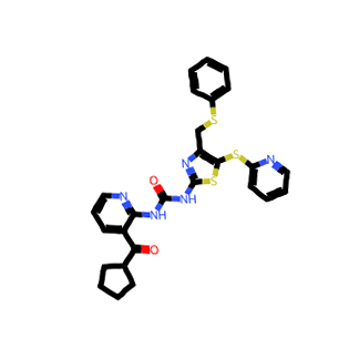 O=C(Nc1nc(CSc2ccccc2)c(Sc2ccccn2)s1)Nc1ncccc1C(=O)C1CCCC1